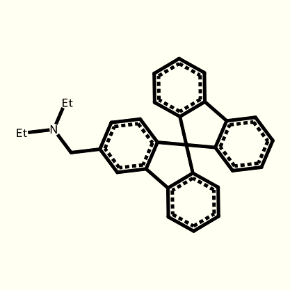 CCN(CC)Cc1ccc2c(c1)-c1ccccc1C21c2ccccc2-c2ccccc21